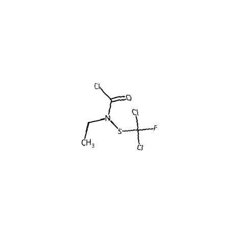 CCN(SC(F)(Cl)Cl)C(=O)Cl